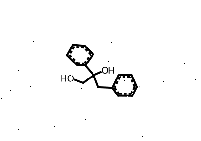 OCC(O)(Cc1cc[c]cc1)c1ccccc1